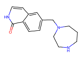 O=c1[nH]ccc2cc(CN3CCCNCC3)ccc12